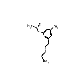 Cc1cc(CCCCN)cc(C[S+](C)[O-])c1